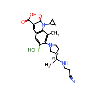 Cc1c(N2CC[C@@H]([C@H](C)NCCC#N)C2)c(F)cc2cc(C(=O)O)c(=O)n(C3CC3)c12.Cl